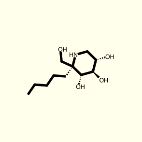 CCCCC[C@]1(CO)NC[C@H](O)[C@@H](O)[C@@H]1O